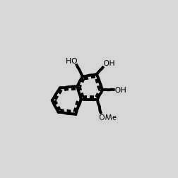 COc1c(O)c(O)c(O)c2ccccc12